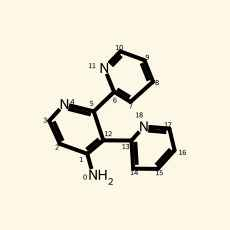 Nc1ccnc(-c2ccccn2)c1-c1ccccn1